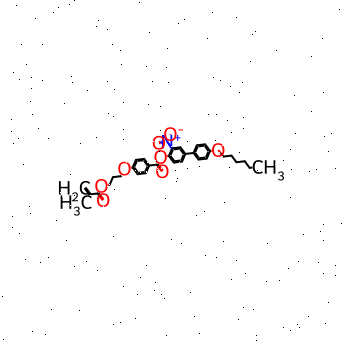 C=C(C)C(=O)OCCCOc1ccc(C(=O)Oc2ccc(-c3ccc(OCCCCCC)cc3)cc2[N+](=O)[O-])cc1